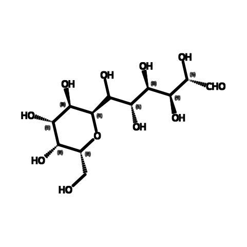 O=C[C@@H](O)[C@@H](O)[C@H](O)[C@H](O)C(O)[C@H]1O[C@H](CO)[C@H](O)[C@H](O)[C@H]1O